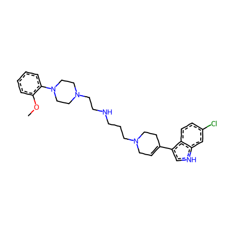 COc1ccccc1N1CCN(CCNCCCN2CC=C(c3c[nH]c4cc(Cl)ccc34)CC2)CC1